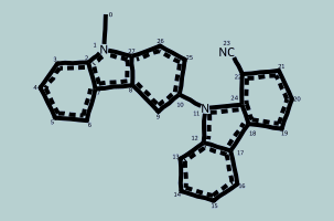 Cn1c2ccccc2c2cc(-n3c4ccccc4c4cccc(C#N)c43)ccc21